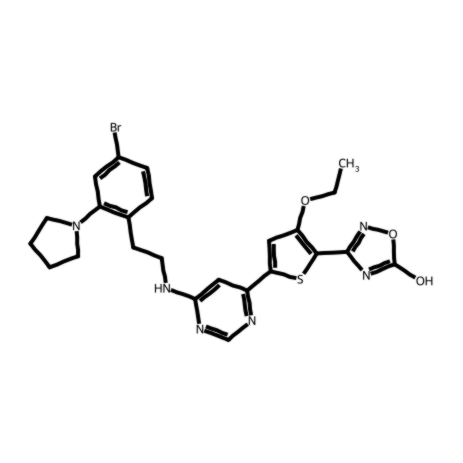 CCOc1cc(-c2cc(NCCc3ccc(Br)cc3N3CCCC3)ncn2)sc1-c1noc(O)n1